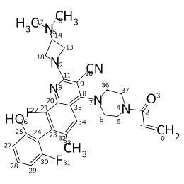 C=CC(=O)N1CCN(c2c(C#N)c(N3CC(N(C)C)C3)nc3c(F)c(-c4c(O)cccc4F)c(C)cc23)CC1